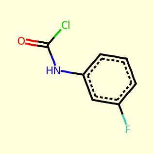 O=C(Cl)Nc1cccc(F)c1